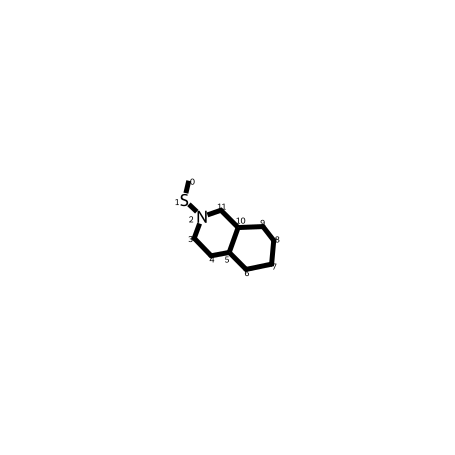 CSN1CCC2CCCCC2C1